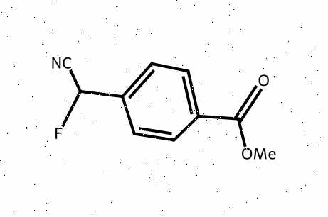 COC(=O)c1ccc(C(F)C#N)cc1